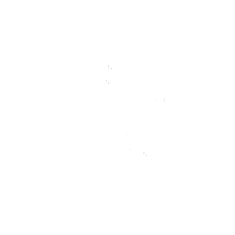 Cc1nnc(C(CC(=O)O)c2cc(F)cc(-c3ccccc3C(=O)N(C)C)c2)o1